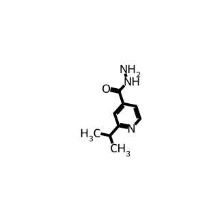 CC(C)c1cc(C(=O)NN)ccn1